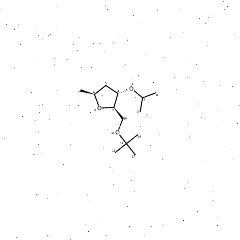 CC(C)O[C@H]1C[C@H](C)O[C@@H]1COC(C)(C)C